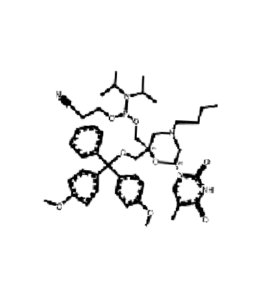 CCCCN1C[C@H](n2cc(C)c(=O)[nH]c2=O)O[C@](COP(OCCC#N)N(C(C)C)C(C)C)(COC(c2ccccc2)(c2ccc(OC)cc2)c2ccc(OC)cc2)C1